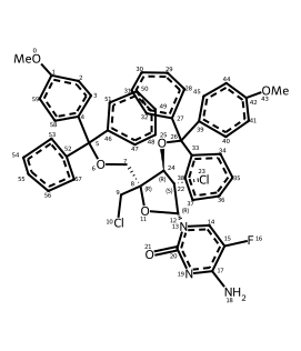 COc1ccc(C(OC[C@@]2(CCl)O[C@@H](n3cc(F)c(N)nc3=O)[C@@H](Cl)[C@@H]2OC(c2ccccc2)(c2ccccc2)c2ccc(OC)cc2)(c2ccccc2)c2ccccc2)cc1